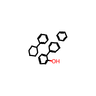 Oc1ccccc1-c1ccccc1.c1ccc(C2CCCCC2)cc1.c1ccccc1